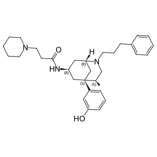 C[C@@H]1CN(CCCc2ccccc2)[C@H]2C[C@H](NC(=O)CCN3CCCCC3)C[C@]1(c1cccc(O)c1)C2